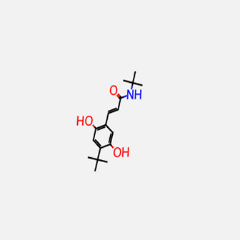 CC(C)(C)NC(=O)/C=C/c1cc(O)c(C(C)(C)C)cc1O